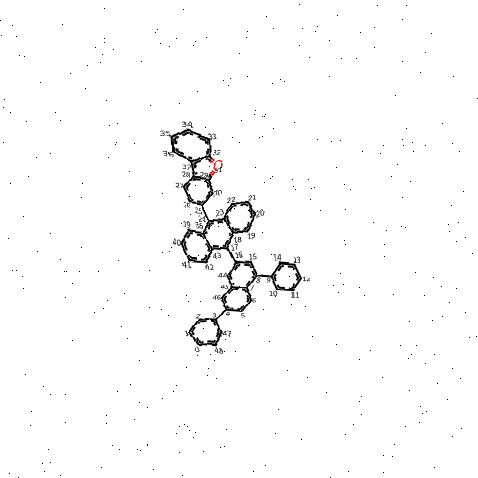 c1ccc(-c2ccc3c(-c4ccccc4)cc(-c4c5ccccc5c(-c5ccc6c(c5)oc5ccccc56)c5ccccc45)cc3c2)cc1